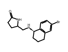 O=C1CCC(CN[C@@H]2CCCc3cc(Br)ccc32)N1